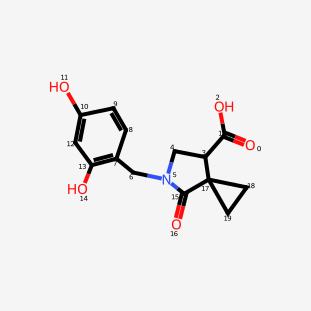 O=C(O)C1CN(Cc2ccc(O)cc2O)C(=O)C12CC2